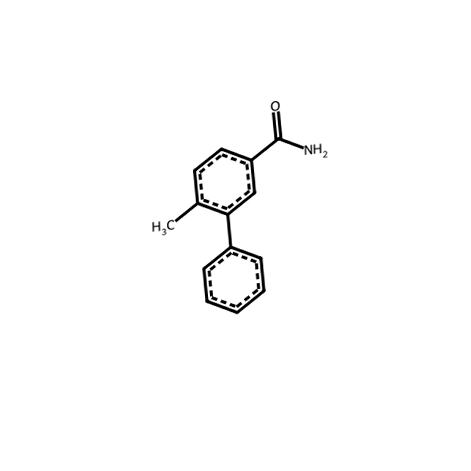 Cc1ccc(C(N)=O)cc1-c1ccccc1